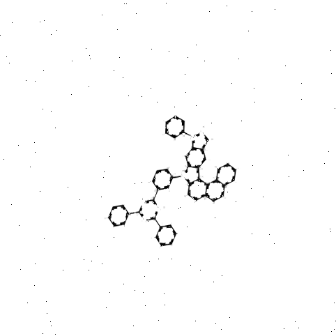 c1ccc(-c2nc(-c3ccccc3)nc(-c3cccc(-n4c5cc6c(cnn6-c6ccccc6)cc5c5c6c(ccc7ccccc76)ccc54)c3)n2)cc1